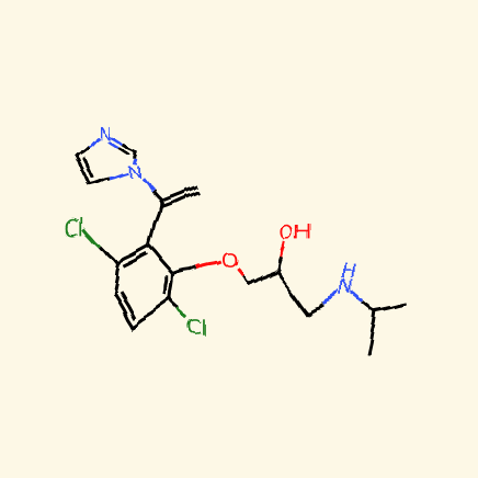 C=C(c1c(Cl)ccc(Cl)c1OCC(O)CNC(C)C)n1ccnc1